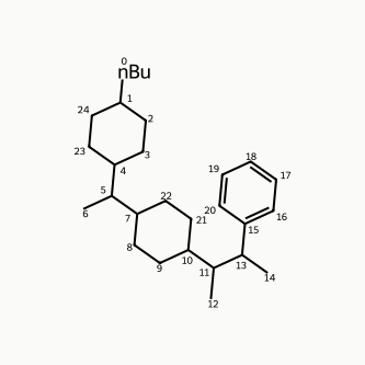 CCCCC1CCC(C(C)C2CCC(C(C)C(C)c3ccccc3)CC2)CC1